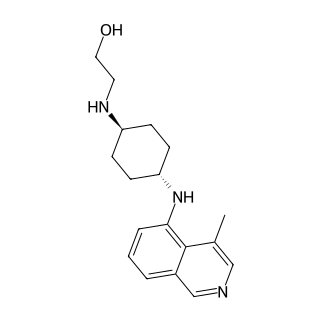 Cc1cncc2cccc(N[C@H]3CC[C@H](NCCO)CC3)c12